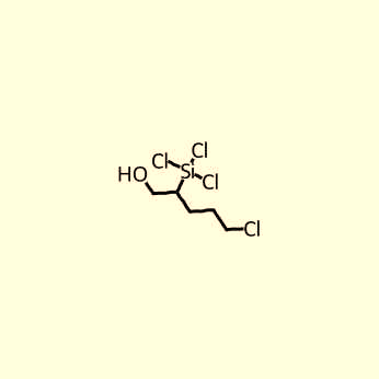 OCC(CCCCl)[Si](Cl)(Cl)Cl